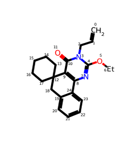 C=CCn1c(OCC)nc2c(c1=O)C1(CCCCC1)Cc1ccccc1-2